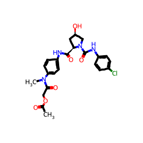 CC(=O)OCC(=O)N(C)c1ccc(NC(=O)[C@H]2C[C@@H](O)CN2C(=O)Nc2ccc(Cl)cc2)cc1